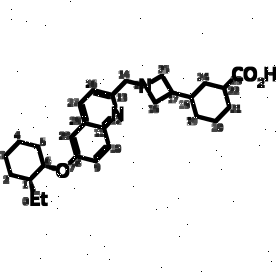 CC[C@H]1CCCC[C@H]1Oc1ccc2nc(CN3CC(C4CCCC(C(=O)O)C4)C3)ccc2c1